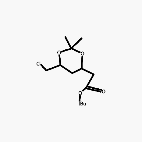 CC(C)(C)OC(=O)CC1CC(CCl)OC(C)(C)O1